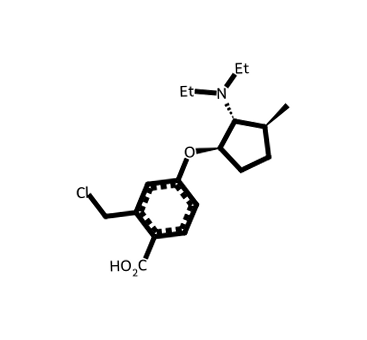 CCN(CC)[C@@H]1[C@@H](C)CC[C@H]1Oc1ccc(C(=O)O)c(CCl)c1